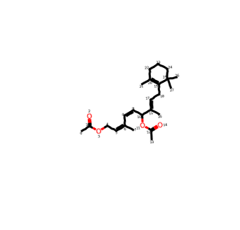 CC(=O)OC/C=C(C)\C=C/C(OC(C)=O)/C(C)=C/CC1=C(C)CCCC1(C)C